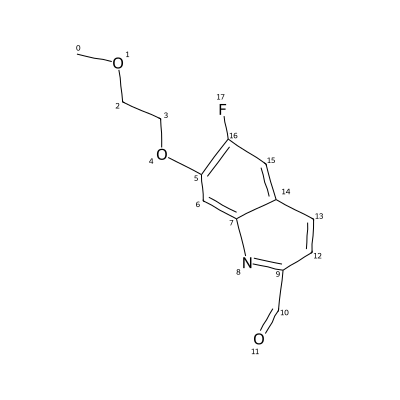 COCCOc1cc2nc(C=O)ccc2cc1F